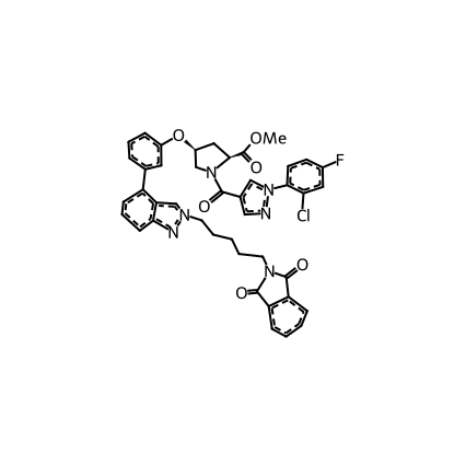 COC(=O)[C@@H]1C[C@H](Oc2cccc(-c3cccc4nn(CCCCCN5C(=O)c6ccccc6C5=O)cc34)c2)CN1C(=O)c1cnn(-c2ccc(F)cc2Cl)c1